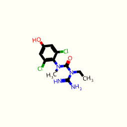 CCN(C(=N)N)C(=O)N(C)c1c(Cl)cc(O)cc1Cl